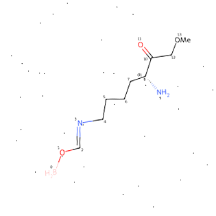 BOC=NCCCC[C@@H](N)C(=O)COC